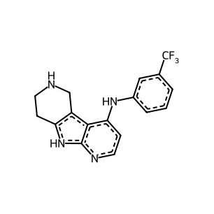 FC(F)(F)c1cccc(Nc2ccnc3[nH]c4c(c23)CNCC4)c1